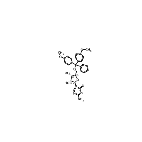 COc1ccc(C(OC[C@H]2O[C@@H](n3cnc(N)nc3=O)[C@H](O)[C@@H]2O)(c2ccccc2)c2ccc(OC)cc2)cc1